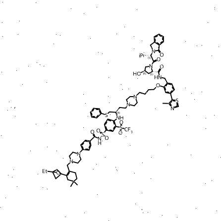 CCC12CC(C3=C(CN4CCN(c5ccc(C(=O)NS(=O)(=O)c6ccc(N[C@H](CCN7CCN(CCCCOc8cc(-c9scnc9C)ccc8CNC(=O)[C@@H]8C[C@@H](O)CN8C(=O)[C@H](C(C)C)N8Cc9ccccc9C8=O)CC7)CSc7ccccc7)c(S(=O)(=O)C(F)(F)F)c6)cc5)CC4)CCC(C)(C)C3)(C1)C2